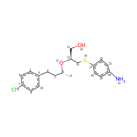 C[C@H](CCc1ccc(Cl)cc1)O[C@@H](CO)CSc1ccc(N)cc1